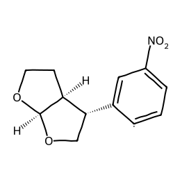 O=[N+]([O-])c1cc[c]c([C@@H]2CO[C@H]3OCC[C@H]32)c1